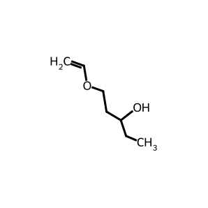 C=COCCC(O)CC